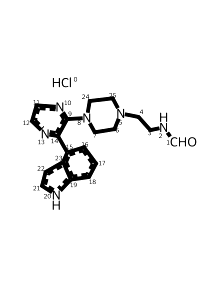 Cl.O=CNCCN1CCN(c2nccnc2-c2cccc3[nH]ccc23)CC1